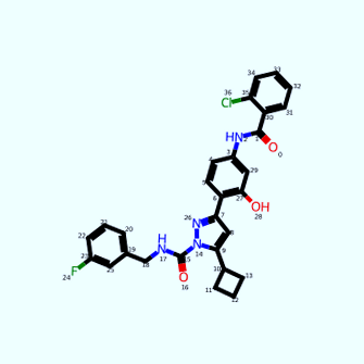 O=C(Nc1ccc(-c2cc(C3CCC3)n(C(=O)NCc3cccc(F)c3)n2)c(O)c1)c1ccccc1Cl